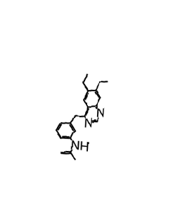 C=C(C)Nc1cccc(Cc2ncnc3cc(CC)c(CC)cc23)c1